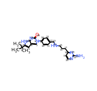 CC(C)(C)c1cc2cn(-c3ccc(CNCCCc4ccnc(N)n4)cc3)c(=O)nc2[nH]1